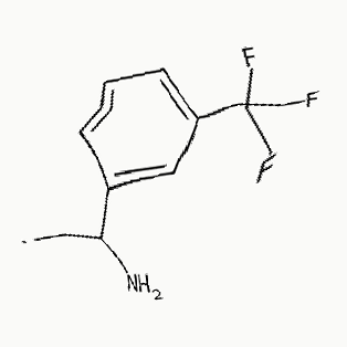 [CH2]C(N)c1cccc(C(F)(F)F)c1